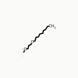 [C]OCCCOCCCCCCCCC